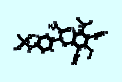 CCc1c(C#N)c(SC(C(N)=O)c2ccc(OS(C)(=O)=O)cc2)nc(N(C)C)c1C#N